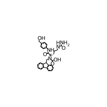 NC(=O)NCCC[C@@H](C(=O)Nc1ccc(CO)cc1)N(CC1c2ccccc2-c2ccccc21)C(=O)O